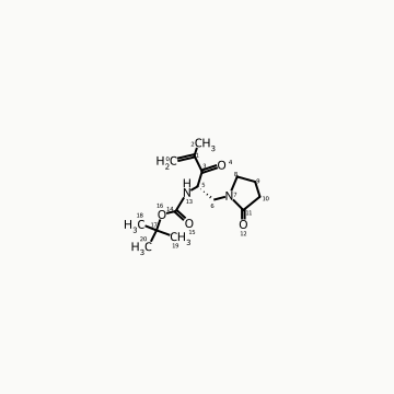 C=C(C)C(=O)[C@H](CN1CCCC1=O)NC(=O)OC(C)(C)C